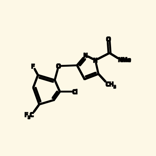 CNC(=O)n1nc(Oc2c(F)cc(C(F)(F)F)cc2Cl)cc1C